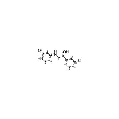 O=c1cc(NCC(O)c2cccc(Cl)c2)cc[nH]1